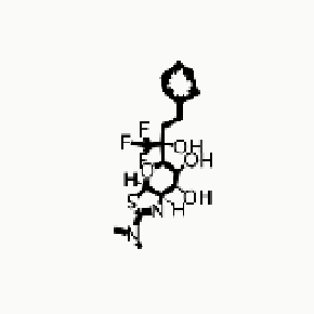 CN(C)C1=N[C@@H]2[C@@H](O)[C@H](O)C([C@@](O)(CCc3ccccc3)C(F)(F)F)O[C@@H]2S1